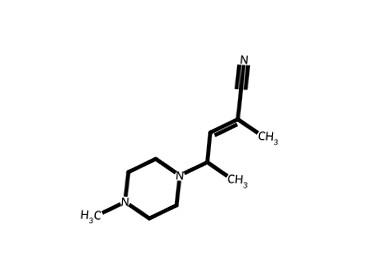 C/C(C#N)=C\C(C)N1CCN(C)CC1